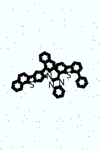 c1ccc(-c2cccc3c2sc2c(-c4nc5ccccc5nc4-n4c5cc6sc7c8ccccc8ccc7c6cc5c5c6ccccc6ccc54)cccc23)cc1